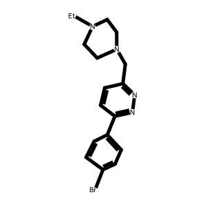 CCN1CCN(Cc2ccc(-c3ccc(Br)cc3)nn2)CC1